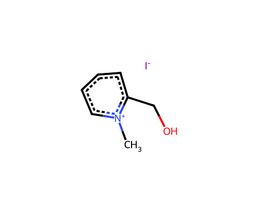 C[n+]1ccccc1CO.[I-]